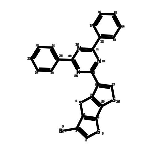 Brc1csc2c1sc1c(-c3nc(-c4ccccc4)nc(-c4ccccc4)n3)csc12